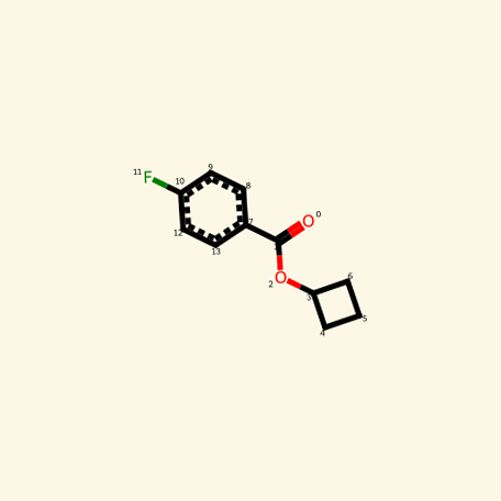 O=C(OC1CCC1)c1ccc(F)cc1